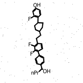 CCCC(O)c1ccc(-c2ccc(CCC3CCC(c4ccc(O)cc4F)CC3)c(F)c2F)cc1